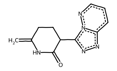 C=C1CCC(c2nnc3cccnn23)C(=O)N1